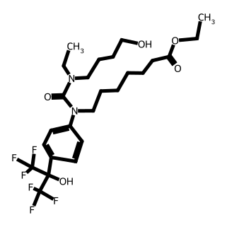 CCOC(=O)CCCCCCN(C(=O)N(CC)CCCCO)c1ccc(C(O)(C(F)(F)F)C(F)(F)F)cc1